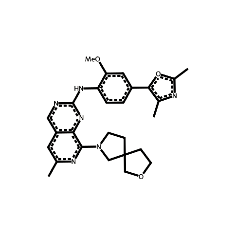 COc1cc(-c2oc(C)nc2C)ccc1Nc1ncc2cc(C)nc(N3CCC4(CCOC4)C3)c2n1